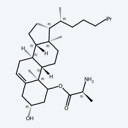 CC(C)CCC[C@@H](C)[C@H]1CC[C@H]2[C@@H]3CC=C4C[C@@H](O)CC(OC(=O)[C@H](C)N)[C@]4(C)[C@H]3CC[C@]12C